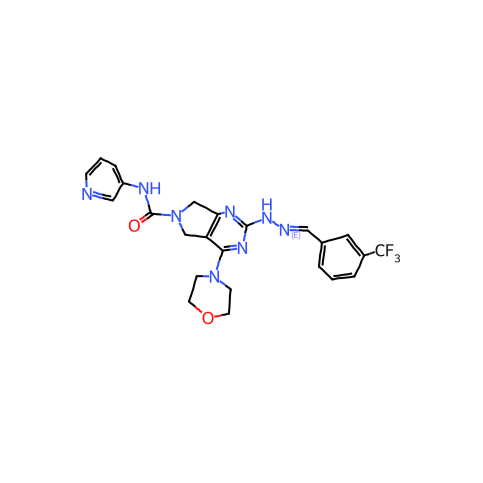 O=C(Nc1cccnc1)N1Cc2nc(N/N=C/c3cccc(C(F)(F)F)c3)nc(N3CCOCC3)c2C1